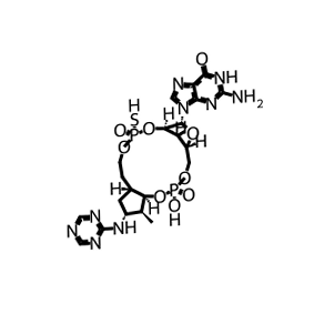 C[C@@H]1[C@@H]2OP(=O)(O)OC[C@H]3O[C@@H](n4cnc5c(=O)[nH]c(N)nc54)[C@H](OP(=O)(S)OCC[C@H]2C[C@H]1Nc1ncncn1)[C@@H]3C